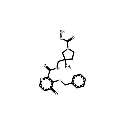 CC(C)(C)OC(=O)N1CCC(N)(CNC(=O)c2occc(=O)c2OCc2ccccc2)C1